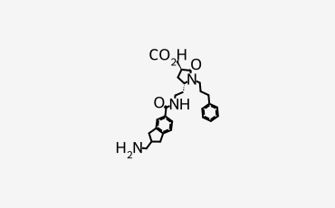 NCC1Cc2ccc(C(=O)NCC[C@@H]3C[C@@H](CC(=O)O)C(=O)N3CCCc3ccccc3)cc2C1